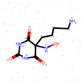 NCCCCC1(NO)C(=O)NC(=O)NC1=O